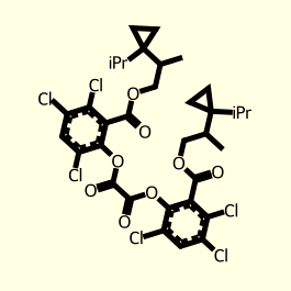 CC(C)C1(C(C)COC(=O)c2c(Cl)c(Cl)cc(Cl)c2OC(=O)C(=O)Oc2c(Cl)cc(Cl)c(Cl)c2C(=O)OCC(C)C2(C(C)C)CC2)CC1